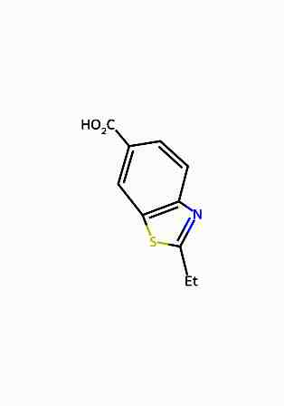 CCc1nc2ccc(C(=O)O)cc2s1